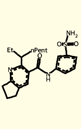 CCCCCC(CC)c1nc2c(cc1C(=O)Nc1cccc(S(N)(=O)=O)c1)CCC2